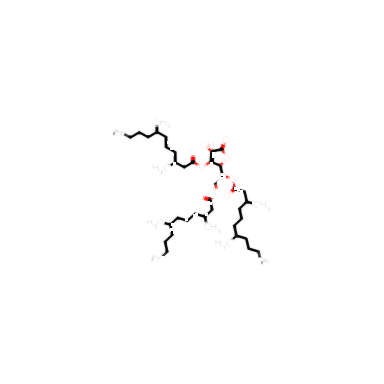 CC(C)CCCC(C)CCCC(C)CC(=O)OC[C@H](OC(=O)CC(C)CCCC(C)CCCC(C)C)C1OC(=O)C(O)=C1OC(=O)CC(C)CCCC(C)CCCC(C)C